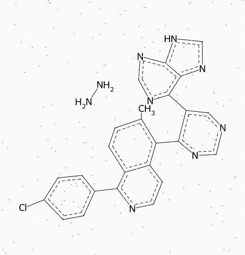 Cc1ccc2c(-c3ccc(Cl)cc3)nccc2c1-c1ncncc1-c1ncnc2[nH]cnc12.NN